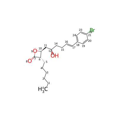 CCCCCC[C@@H]1C(=O)O[C@H]1C[C@H](O)CCC=Cc1ccc(Br)cc1